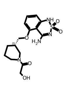 NC1=NS(=O)(=O)Nc2cccc(OC[C@H]3CCCN(C(=O)CO)C3)c21